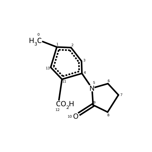 Cc1ccc(N2CCCC2=O)c(C(=O)O)c1